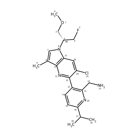 COC[C@H](CF)n1cc(C)c2nc(-c3ccc(C(C)C)nc3CN)c(Cl)cc21